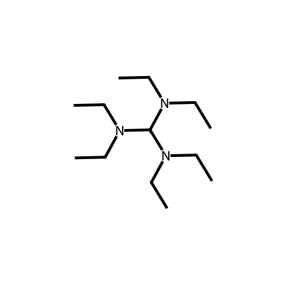 CCN(CC)[C](N(CC)CC)N(CC)CC